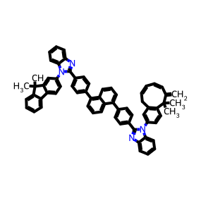 C=C1/C=C\C=C/Cc2cc(-n3c(-c4ccc(-c5cccc6c(-c7ccc(-c8nc9ccccc9n8-c8ccc9c(c8)C(C)(C)c8ccccc8-9)cc7)cccc56)cc4)nc4ccccc43)ccc2C1(C)C